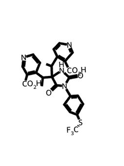 CC(c1ccncc1C(=O)O)C1(C(C)c2ccncc2C(=O)O)NC(=O)N(c2ccc(SC(F)(F)F)cc2)C1=O